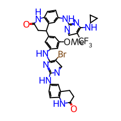 COc1cc(Nc2nc(Nc3ccc4c(c3)CCC(=O)N4)ncc2Br)cc(C2CC(=O)Nc3ccc(Nc4ncc(C(F)(F)F)c(NC5CC5)n4)cc32)c1